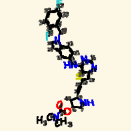 CN(C)C(=O)O[C@H]1CN[C@H](C#Cc2cc3ncnc(Nc4ccc5c(ccn5Cc5cc(F)ccc5F)c4)c3s2)C1